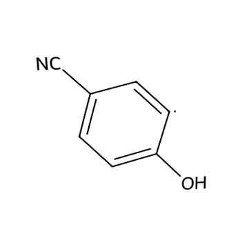 N#Cc1c[c]c(O)cc1